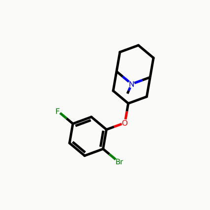 CN1C2CCCC1CC(Oc1cc(F)ccc1Br)C2